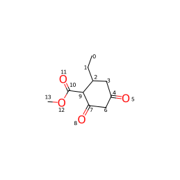 CCC1CC(=O)CC(=O)C1C(=O)OC